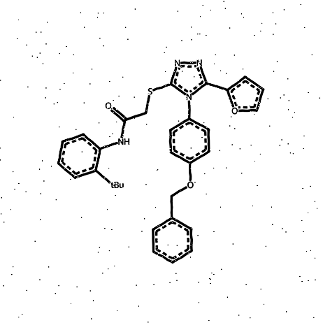 CC(C)(C)c1ccccc1NC(=O)CSc1nnc(-c2ccco2)n1-c1ccc(OCc2ccccc2)cc1